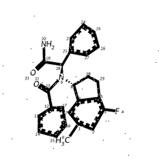 Cc1cc(F)c2c(c1)[C@H](N(C(=O)c1ccccc1)[C@@H](C(N)=O)c1ccccc1)CC2